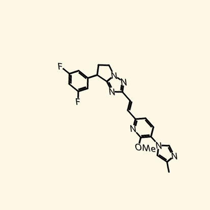 COc1nc(C=Cc2nc3n(n2)CCC3c2cc(F)cc(F)c2)ccc1-n1cnc(C)c1